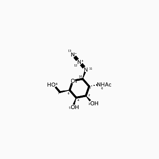 CC(=O)N[C@@H]1[C@@H](O)[C@@H](O)[C@@H](CO)O[C@H]1N=[N+]=[N-]